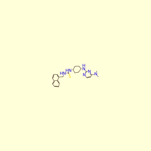 CN(C)c1ccnc(N[C@H]2CC[C@@H](NC(=S)NCc3cccc4ccccc34)CC2)n1